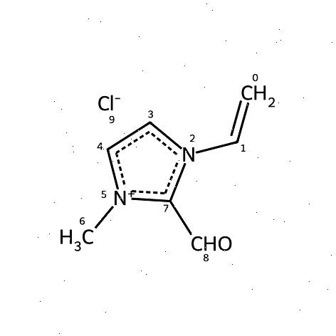 C=Cn1cc[n+](C)c1C=O.[Cl-]